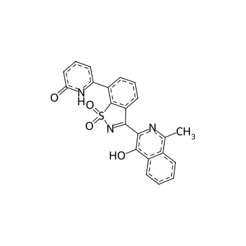 Cc1nc(C2=NS(=O)(=O)c3c2cccc3-c2cccc(=O)[nH]2)c(O)c2ccccc12